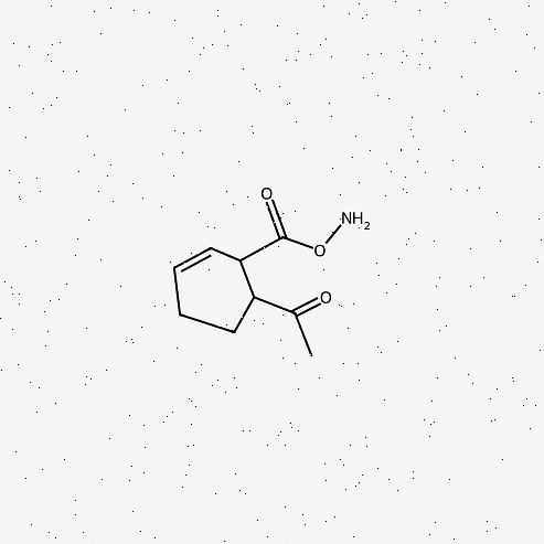 CC(=O)C1CCC=CC1C(=O)ON